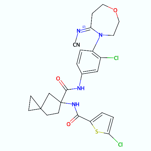 N#C/N=C1/CCOCCN1c1ccc(NC(=O)C2(NC(=O)c3ccc(Cl)s3)CCC3(CC3)C2)cc1Cl